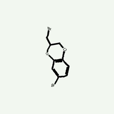 BrCC1COc2ccc(Br)cc2O1